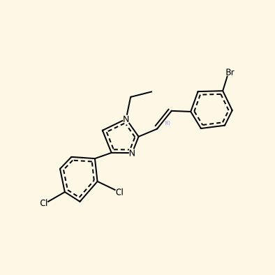 CCn1cc(-c2ccc(Cl)cc2Cl)nc1/C=C/c1cccc(Br)c1